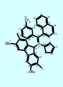 Cc1cc2c(cc1C(C)(C)C)-c1cc(C(C)(C)C)c(C)cc1[CH]2[Zr]([C]1=CC=CC1)=[C](c1cccc(C(F)(F)F)c1)c1cccc2ccccc12